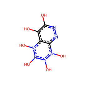 Oc1nnc2c(c1O)n(O)n(O)n(O)n2O